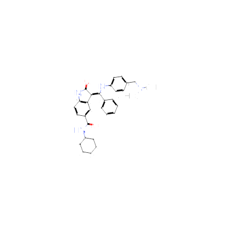 CN(C)Cc1ccc(N/C(=C2\C(=O)Nc3ccc(C(=O)NC4CCCCC4)cc32)c2ccccc2)cc1